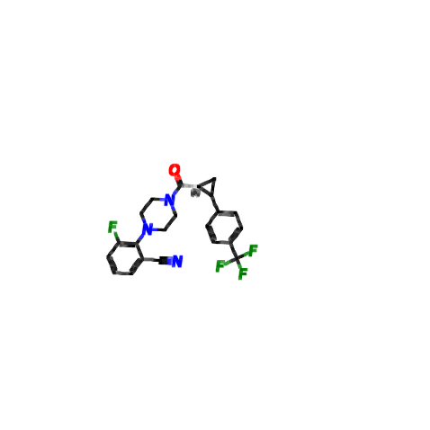 N#Cc1cccc(F)c1N1CCN(C(=O)[C@@H]2CC2c2ccc(C(F)(F)F)cc2)CC1